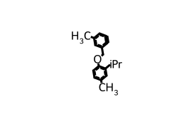 Cc1cc#cc(COc2ccc(C)cc2C(C)C)c1